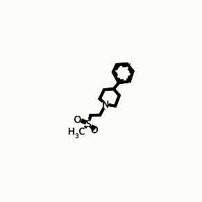 CS(=O)(=O)CCN1CCC(c2cc[c]cc2)CC1